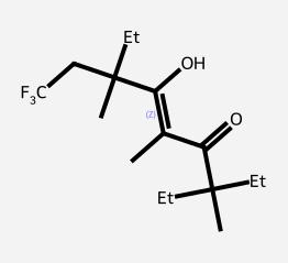 CCC(C)(CC)C(=O)/C(C)=C(\O)C(C)(CC)CC(F)(F)F